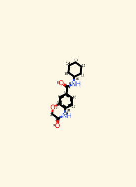 O=C1COc2cc(C(=O)NC3CCCCC3)ccc2N1